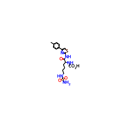 Cc1ccc(-c2csc(NC(=O)C(CCCCNS(N)(=O)=O)NC(=O)O)n2)cc1